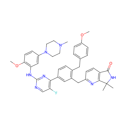 COc1ccc(Cc2ccc(-c3nc(Nc4cc(N5CCN(C)CC5)ccc4OC)ncc3F)cc2Cc2ccc3c(n2)C(C)(C)NC3=O)cc1